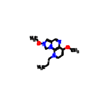 CCCN1CC=C(OC)C2=C1N1CN(OC)C=C1C=N2